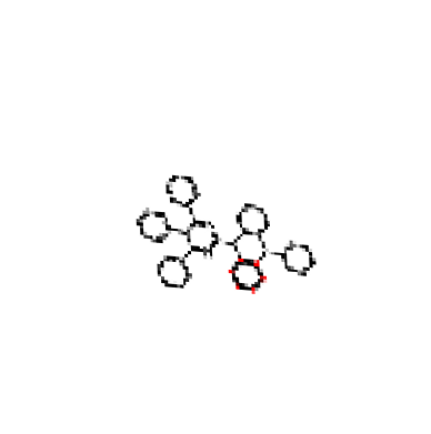 c1ccc(-c2nc(C34c5ccccc5C(c5ccccc5)(c5ccccc53)c3ccccc34)nc(-c3ccccc3)c2-c2ccccc2)cc1